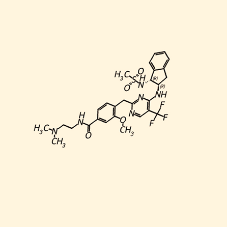 COc1cc(C(=O)NCCN(C)C)ccc1Cc1ncc(C(F)(F)F)c(N[C@@H]2Cc3ccccc3[C@H]2NS(C)(=O)=O)n1